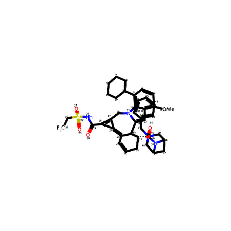 COc1ccc(C2CCCCC2)c2c1cc1n2CC2=C(C(=O)NS(=O)(=O)CC(F)(F)F)C2=C2C=CC[C@@H](C(=O)N3C4CC3CN(Cc3ccccc3)C4)C21